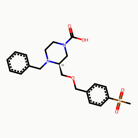 CS(=O)(=O)c1ccc(COC[C@@H]2CN(C(=O)O)CCN2Cc2ccccc2)cc1